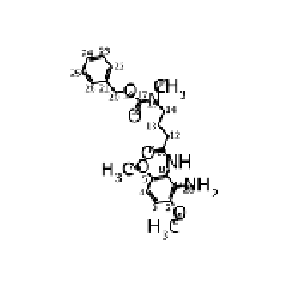 COc1ccc(OC)c(NC(=O)CCCN(C)C(=O)OCc2ccccc2)c1N